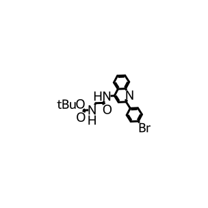 CC(C)(C)OC(=O)NCC(=O)Nc1cc(-c2ccc(Br)cc2)nc2ccccc12